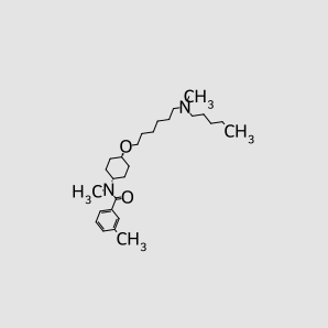 CCCCCN(C)CCCCCCO[C@H]1CC[C@H](N(C)C(=O)c2cccc(C)c2)CC1